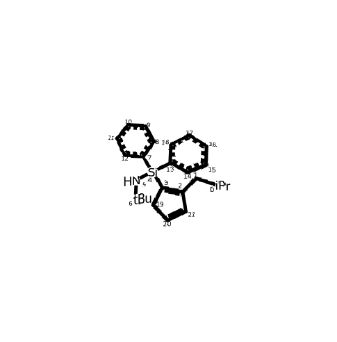 CC(C)CC1=C([Si](NC(C)(C)C)(c2ccccc2)c2ccccc2)CC=C1